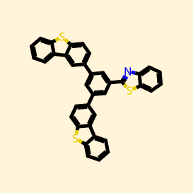 c1ccc2sc(-c3cc(-c4ccc5sc6ccccc6c5c4)cc(-c4ccc5sc6ccccc6c5c4)c3)nc2c1